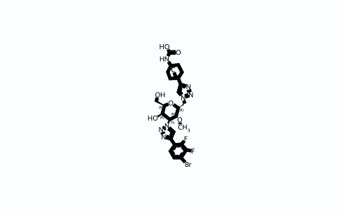 CO[C@@H]1[C@@H](n2cc(-c3ccc(Br)c(F)c3F)nn2)[C@@H](O)[C@@H](CO)O[C@@H]1Cn1cc(C23CCC(NC(=O)O)(CC2)CC3)nn1